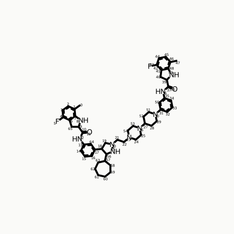 Cc1ccc(F)c2c1NC(C(=O)Nc1cccc(C3CN(CCN4CCN(C5CCN(c6cccc(NC(=O)C7Cc8c(F)ccc(C)c8N7)c6)CC5)CC4)NC3C3CCCCCC3)c1)C2